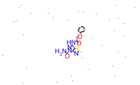 NC(=O)n1nc(NC(=O)COc2ccccc2)c2s[c]nc21